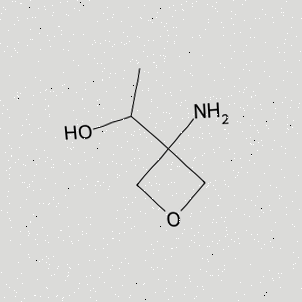 CC(O)C1(N)COC1